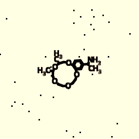 CC1COCCOCCOc2cc(C(C)N)ccc2OCC(C)O1